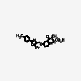 Cc1ccc(-c2nc(COC3CCCC(C(=O)N(C)[C@H](C(=O)O)C(C)C)C3)c(C(C)C)o2)cc1